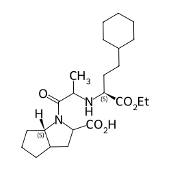 CCOC(=O)[C@H](CCC1CCCCC1)NC(C)C(=O)N1C(C(=O)O)CC2CCC[C@@H]21